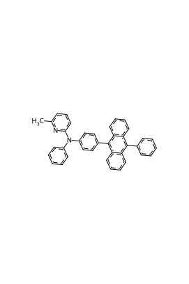 Cc1cccc(N(c2ccccc2)c2ccc(-c3c4ccccc4c(-c4ccccc4)c4ccccc34)cc2)n1